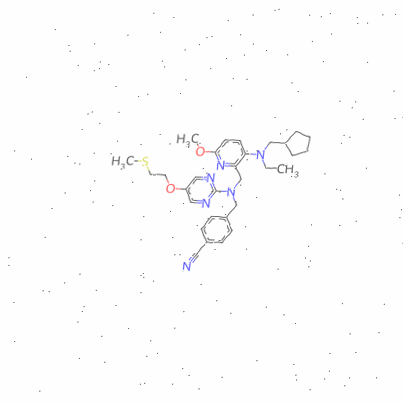 CCN(CC1CCCC1)c1ccc(OC)nc1CN(Cc1ccc(C#N)cc1)c1ncc(OCCSC)cn1